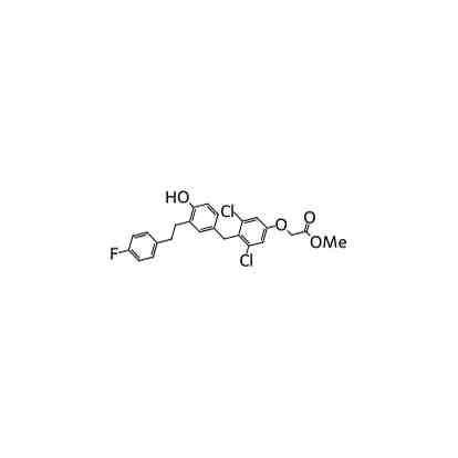 COC(=O)COc1cc(Cl)c(Cc2ccc(O)c(CCc3ccc(F)cc3)c2)c(Cl)c1